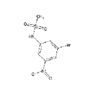 CS(=O)(=O)Nc1cc(Br)cc([N+](=O)[O-])c1